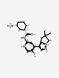 CC1(C)Cc2c(-c3cc(NC(=O)[C@H]4CCC[C@@H](N)C4)ncc3F)cnn2C1